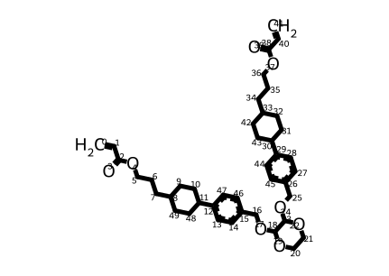 C=CC(=O)OCCCC1CCC(c2ccc(COC3OCCOC3OCc3ccc(C4CCC(CCCOC(=O)C=C)CC4)cc3)cc2)CC1